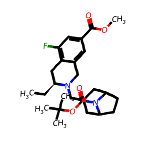 CC[C@H]1Cc2c(F)cc(C(=O)OC)cc2CN1CC1CC2CCC(C1)N2C(=O)OC(C)(C)C